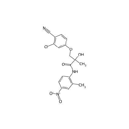 Cc1cc([N+](=O)[O-])ccc1NC(=O)C(C)(O)COc1ccc(C#N)c(Cl)c1